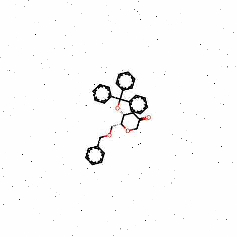 O=C1CO[C@H](COCc2ccccc2)[C@H](OC(c2ccccc2)(c2ccccc2)c2ccccc2)C1